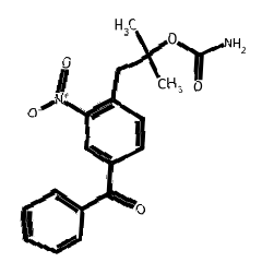 CC(C)(Cc1ccc(C(=O)c2ccccc2)cc1[N+](=O)[O-])OC(N)=O